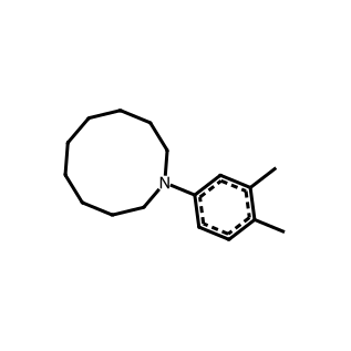 Cc1ccc(N2CCCCCCCCC2)cc1C